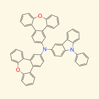 c1ccc(-n2c3ccccc3c3cc(N(c4ccc5c(c4)-c4ccccc4Oc4ccccc4-5)c4ccc5c(c4)-c4ccccc4Oc4ccccc4-5)ccc32)cc1